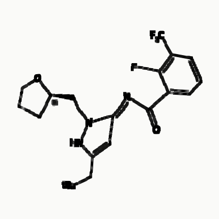 CC(C)(C)Cc1cc(=NC(=O)c2cccc(C(F)(F)F)c2F)n(C[C@H]2CCCO2)[nH]1